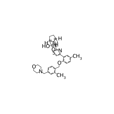 Cc1ccc(OCc2ccc(CN3CCOCC3)cc2C)c(-c2csc(N3C[C@H]4CC[C@@H](C3)[C@H]4C(=O)O)n2)c1